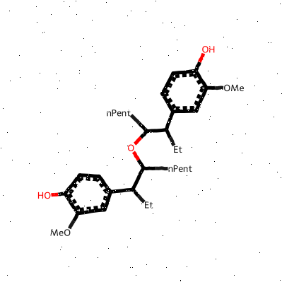 CCCCCC(OC(CCCCC)C(CC)c1ccc(O)c(OC)c1)C(CC)c1ccc(O)c(OC)c1